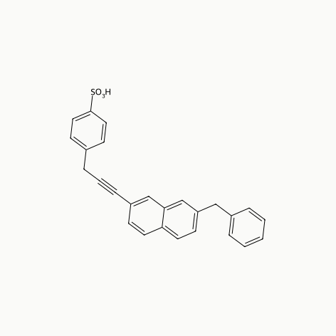 O=S(=O)(O)c1ccc(CC#Cc2ccc3ccc(Cc4ccccc4)cc3c2)cc1